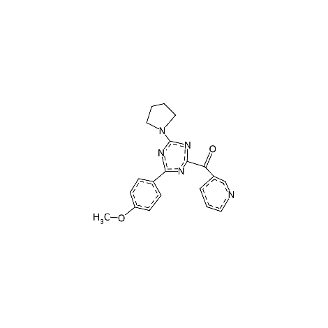 COc1ccc(-c2nc(C(=O)c3cccnc3)nc(N3CCCC3)n2)cc1